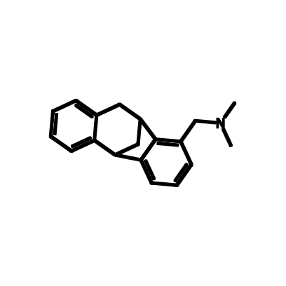 CN(C)Cc1cccc2c1C1Cc3ccccc3C2C1